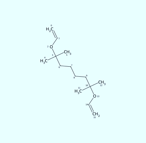 C=COC(C)(C)CCCCC(C)(C)OC=C